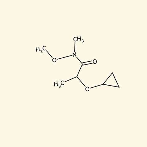 CON(C)C(=O)C(C)OC1CC1